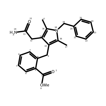 COC(=O)c1ccccc1Cc1c(CC(N)=O)c(C)n(Cc2ccccc2)c1C